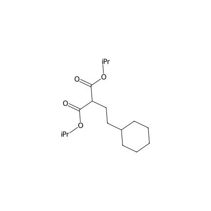 CC(C)OC(=O)C(CCC1CCCCC1)C(=O)OC(C)C